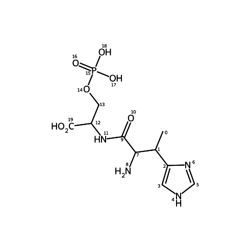 CC(c1c[nH]cn1)C(N)C(=O)NC(COP(=O)(O)O)C(=O)O